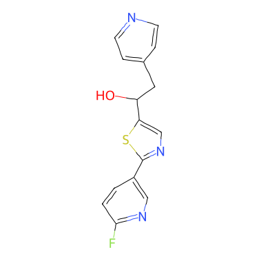 OC(Cc1ccncc1)c1cnc(-c2ccc(F)nc2)s1